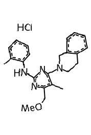 COCc1nc(Nc2ccccc2C)nc(N2CCc3ccccc3C2)c1C.Cl